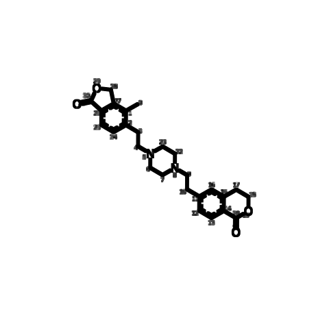 Cc1c(CCN2CCN(CCc3ccc4c(c3)CCOC4=O)CC2)ccc2c1COC2=O